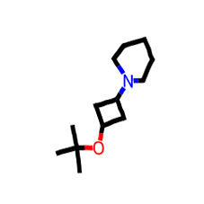 CC(C)(C)OC1CC(N2CCCCC2)C1